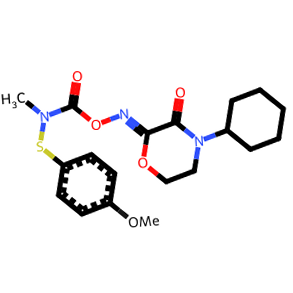 COc1ccc(SN(C)C(=O)ON=C2OCCN(C3CCCCC3)C2=O)cc1